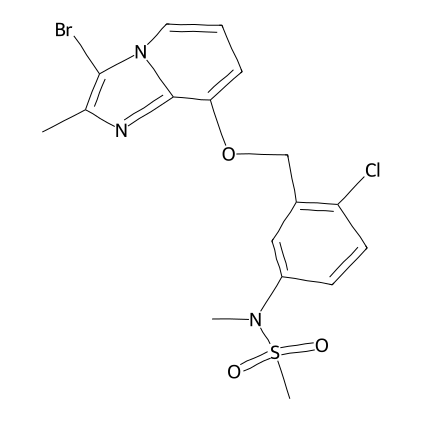 Cc1nc2c(OCc3cc(N(C)S(C)(=O)=O)ccc3Cl)cccn2c1Br